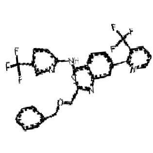 FC(F)(F)c1ccc(Nc2nc(COCc3ccccc3)nc3cc(-c4ncccc4C(F)(F)F)ccc23)nc1